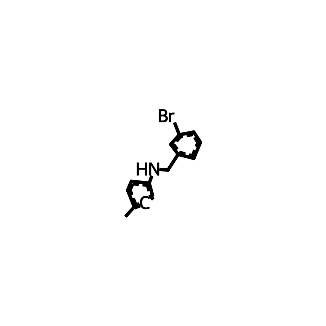 Cc1ccc(NCc2cccc(Br)c2)cc1